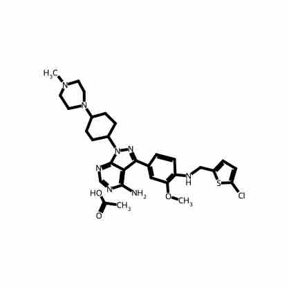 CC(=O)O.COc1cc(-c2nn(C3CCC(N4CCN(C)CC4)CC3)c3ncnc(N)c23)ccc1NCc1ccc(Cl)s1